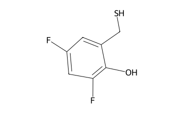 Oc1c(F)cc(F)cc1CS